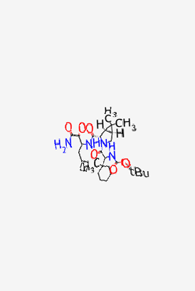 CC(C)(C)OC(=O)N[C@H](C(=O)N1C[C@H]2[C@@H]([C@H]1C(=O)NC(CC1CCC1)C(=O)C(N)=O)C2(C)C)C1(C)CCCCC1